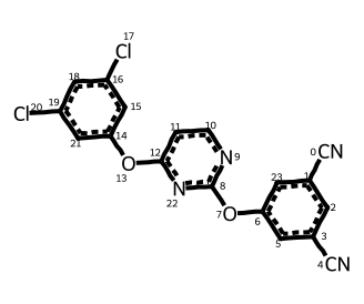 N#Cc1cc(C#N)cc(Oc2nccc(Oc3cc(Cl)cc(Cl)c3)n2)c1